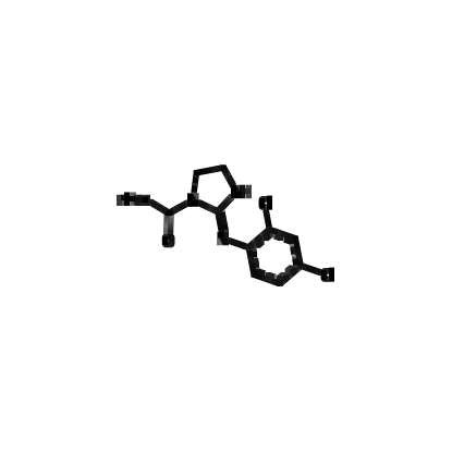 CCCCCCC(=O)N1CCN/C1=N\c1ccc(Cl)cc1Cl